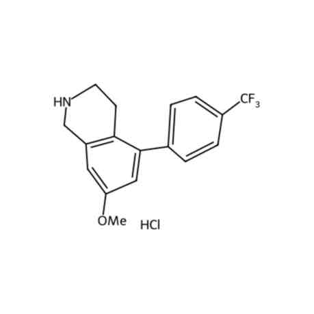 COc1cc2c(c(-c3ccc(C(F)(F)F)cc3)c1)CCNC2.Cl